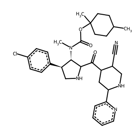 CC1CCC(C)(OC(=O)N(C)[C@@H]2C(C(=O)C3CC(c4ccccn4)NCC3C#N)NC[C@H]2c2ccc(Cl)cc2)CC1